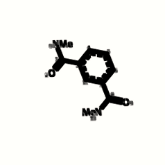 CNC(=O)c1cccc(C(=O)NC)c1